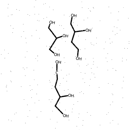 OCC(O)CO.OCCC(O)CO.OCCCC(O)CO